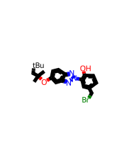 CC(C)(C)CC(C)(C)Oc1ccc2nn(-c3cc(CBr)ccc3O)nc2c1